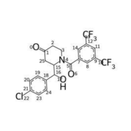 O=C1CCN(C(=O)c2cc(C(F)(F)F)cc(C(F)(F)F)c2)C(C(O)c2ccc(Cl)cc2)C1